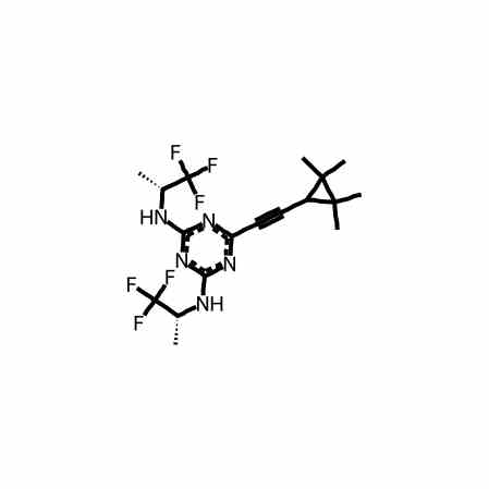 C[C@@H](Nc1nc(C#CC2C(C)(C)C2(C)C)nc(N[C@H](C)C(F)(F)F)n1)C(F)(F)F